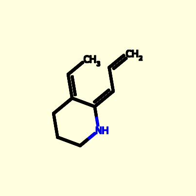 C=C/C=C1/NCCC/C1=C/C